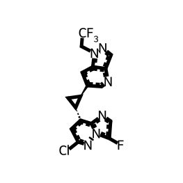 Fc1cnc2c([C@@H]3C[C@H]3c3cnc4cnn(CC(F)(F)F)c4c3)cc(Cl)nn12